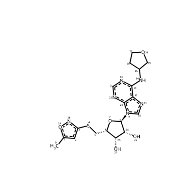 Cc1cc(SC[C@@H]2O[C@@H](n3cnc4c(NC5CCOC5)ncnc43)[C@H](O)[C@@H]2O)no1